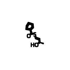 C[C@@H](O)C=CSC(=O)c1ccccc1